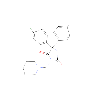 O=C1NC(c2ccc(Cl)cc2)(c2ccc(Cl)cc2)C(=O)N1CN1CCCCC1